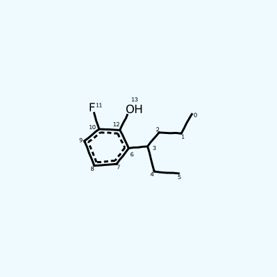 CCCC(CC)c1cccc(F)c1O